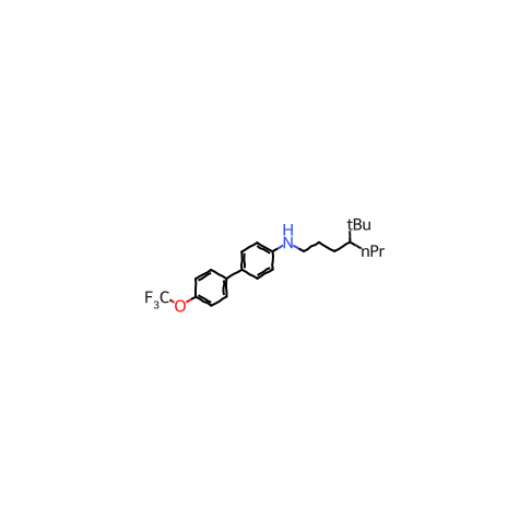 CCCC(CCCNc1ccc(-c2ccc(OC(F)(F)F)cc2)cc1)C(C)(C)C